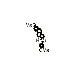 COc1ccc(CN[C@@H]2CCC3C4CCc5cc(OC)ccc5C4CC[C@@]32C)cc1